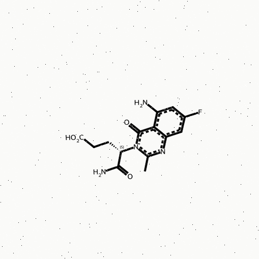 Cc1nc2cc(F)cc(N)c2c(=O)n1[C@@H](CCC(=O)O)C(N)=O